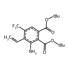 C=Cc1c(C(F)(F)F)cc(C(=O)OC(C)(C)C)c(C(=O)OC(C)(C)C)c1N